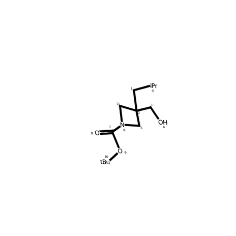 CC(C)CC1(CO)CN(C(=O)OC(C)(C)C)C1